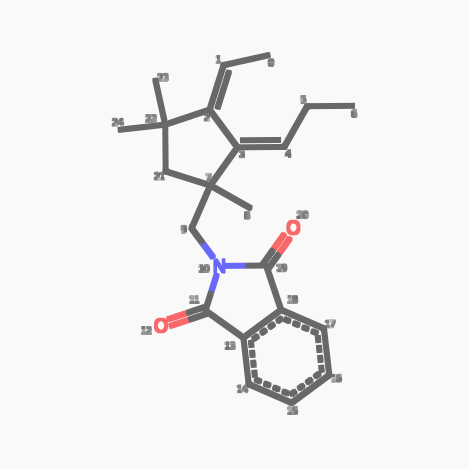 C/C=C1\C(=C/CC)C(C)(CN2C(=O)c3ccccc3C2=O)CC1(C)C